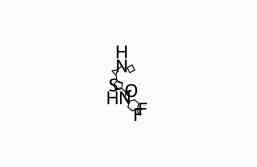 O=C(NC1CCC(F)(F)CC1)c1csc(C2CC2NC2CCC2)c1